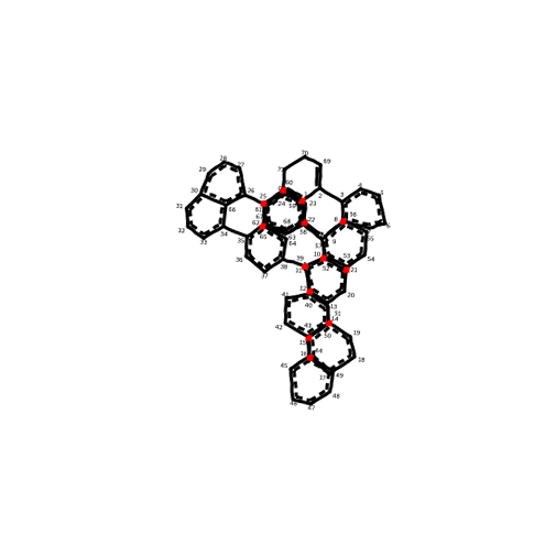 C1=CC(c2ccccc2N(c2ccc(-c3ccccc3)cc2)c2ccc(-c3cccc4cccc(-c5ccc(N(c6ccc(-c7ccccc7)cc6)c6ccccc6-c6ccccc6)cc5)c34)cc2)=CCC1